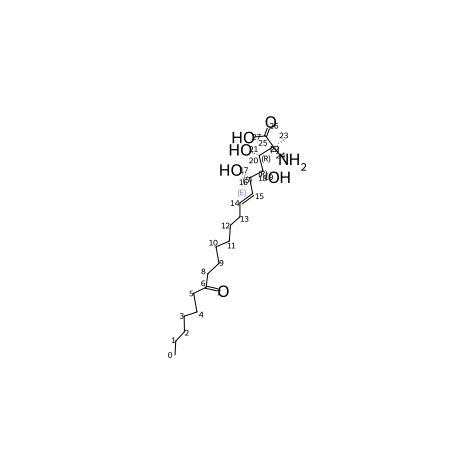 CCCCCCC(=O)CCCCCC/C=C/[C@H](O)[C@@H](O)[C@H](O)[C@](C)(N)C(=O)O